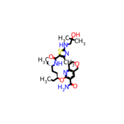 CC[C@@H](CC[C@H](CC)Oc1nc2c(cc1C(N)=O)COCC2)NC(=O)c1sc(NCC(C)(C)O)nc1C